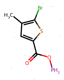 Cc1cc(C(=O)OP)sc1Br